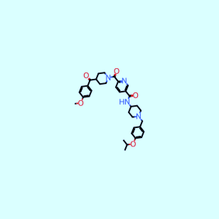 COc1ccc(C(=O)C2CCN(C(=O)c3ccc(C(=O)NC4CCN(Cc5ccc(OC(C)C)cc5)CC4)cn3)CC2)cc1